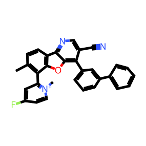 Cc1ccc2c(oc3c(-c4cccc(-c5ccccc5)c4)c(C#N)cnc32)c1-c1cc(F)cc[n+]1C